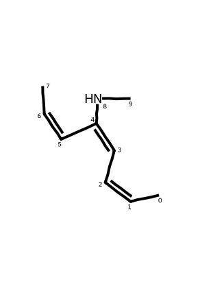 C\C=C/C=C(\C=C/C)NC